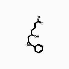 O=C(O)C=CCC(O)CC1OC1c1ccccc1